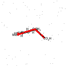 CN[C@@H](CCCCNC(=O)COCCOCCNC(=O)COCCOCCNC(=O)CC[C@@H](C)NC(=O)CCCCCCCCCCCCCCCCC(=O)O)C(C)O